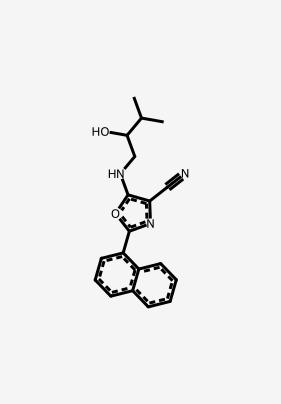 CC(C)C(O)CNc1oc(-c2cccc3ccccc23)nc1C#N